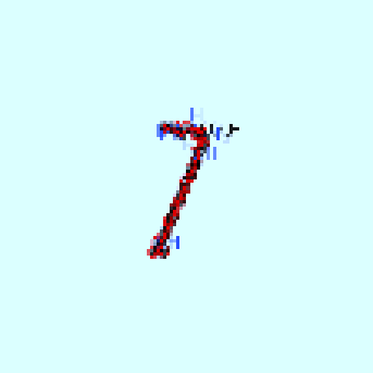 O=C(O)C[C@H](NC(=O)CNC(=O)c1csc(NC(=O)NCc2ccccc2)n1)C(=O)Nc1ccc(OCCCNC(=O)CCOCCOCCOCCOCCOCCOCCOCCOCCOCCOCCOCCOCCNC(=O)CCN2C(=O)CCC2=O)cc1